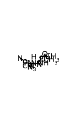 Cc1cc(C#N)ccc1-c1cnnc(NCc2cc(-c3ccc(C(=O)N(C)C)o3)[nH]n2)n1